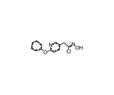 O/N=C(\Cl)Cc1ccc(Oc2ccccc2)nc1